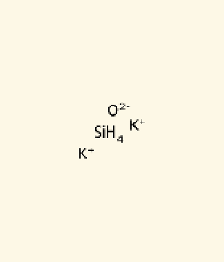 [K+].[K+].[O-2].[SiH4]